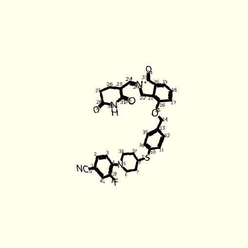 N#Cc1ccc(N2CCC(Sc3ccc(COc4cccc5c4C/[N+](=C\C4CCC(=O)NC4=O)C5=O)cc3)CC2)c(F)c1